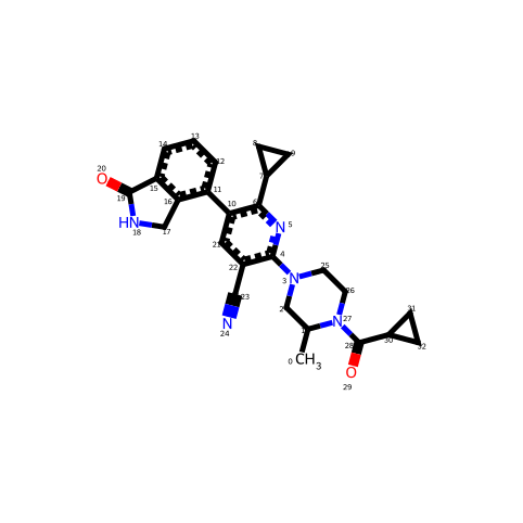 CC1CN(c2nc(C3CC3)c(-c3cccc4c3CNC4=O)cc2C#N)CCN1C(=O)C1CC1